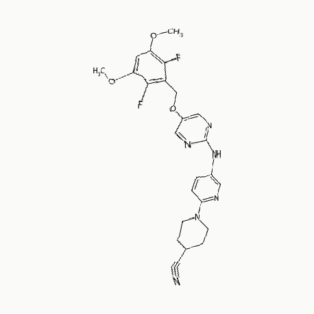 COc1cc(OC)c(F)c(COc2cnc(Nc3ccc(N4CCC(C#N)CC4)nc3)nc2)c1F